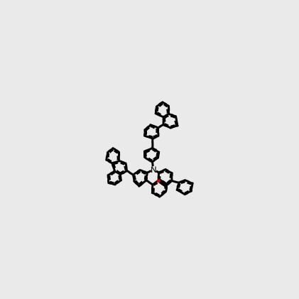 c1ccc(-c2ccc(N(c3ccc(-c4cccc(-c5cccc6ccccc56)c4)cc3)c3cc(-c4cc5ccccc5c5ccccc45)ccc3-c3ccccc3)cc2)cc1